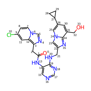 O=C(Cc1ncn2ccc(Cl)cc12)Nc1cncnc1NCc1cn2cc(C3CC3)cc(CO)c2n1